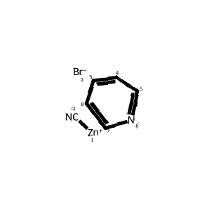 N#[C][Zn+].[Br-].c1ccncc1